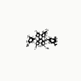 Cc1ccc2c(c1)N(c1cc(F)cc(F)c1)c1cc(C)ccc1C2=C1c2ccc(C)cc2N(c2cc(F)cc(F)c2)c2cc(C)ccc21